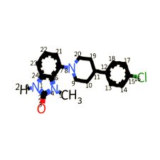 [2H]n1c(=O)n(C)c2c(N3CCC(c4ccc(Cl)cc4)CC3)cccc21